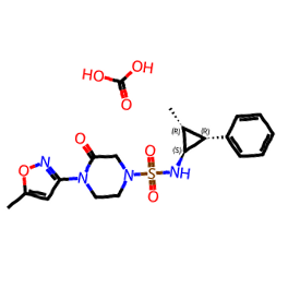 Cc1cc(N2CCN(S(=O)(=O)N[C@H]3[C@H](C)[C@@H]3c3ccccc3)CC2=O)no1.O=C(O)O